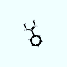 C/N=C(\SC)c1c[c]ccc1